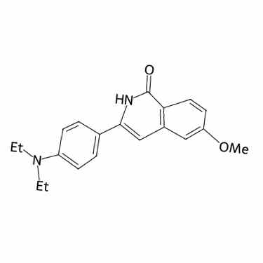 CCN(CC)c1ccc(-c2cc3cc(OC)ccc3c(=O)[nH]2)cc1